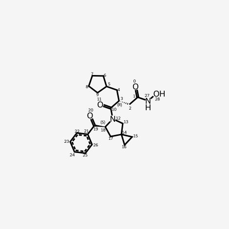 O=C(C[C@@H](CC1CCCC1)C(=O)N1CC2(CC2)C[C@H]1C(=O)c1ccccc1)NO